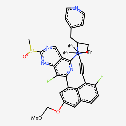 COCOc1cc(-c2nc(N3CCC3Cc3ccncc3)c3cnc([S+](C)[O-])nc3c2F)c2c(C#C[Si](C(C)C)(C(C)C)C(C)C)c(F)ccc2c1